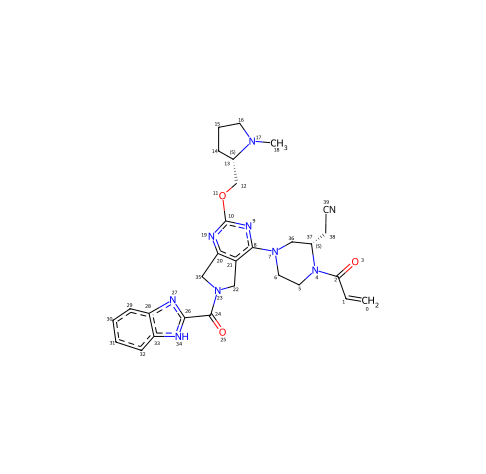 C=CC(=O)N1CCN(c2nc(OC[C@@H]3CCCN3C)nc3c2CN(C(=O)c2nc4ccccc4[nH]2)C3)C[C@@H]1CC#N